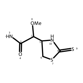 COC(C([NH])=O)C1CSC(=S)N1